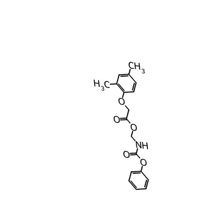 Cc1ccc(OCC(=O)OCNC(=O)Oc2ccccc2)c(C)c1